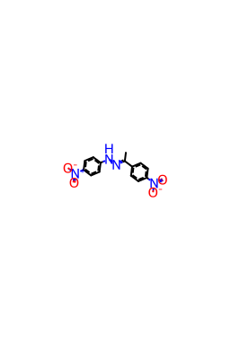 C/C(=N\Nc1ccc([N+](=O)[O-])cc1)c1ccc([N+](=O)[O-])cc1